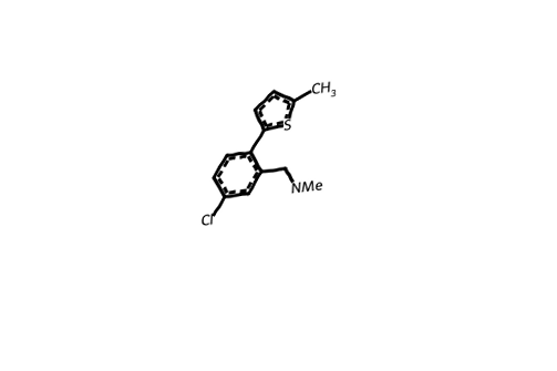 CNCc1cc(Cl)ccc1-c1ccc(C)s1